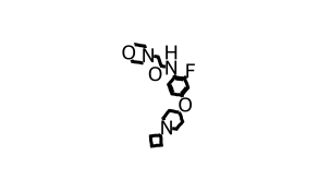 O=C(CN1CCOCC1)Nc1ccc(OC2CCN(C3CCC3)CC2)cc1F